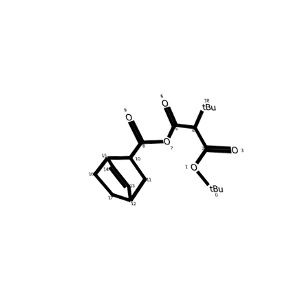 CC(C)(C)OC(=O)C(C(=O)OC(=O)C1CC2C=CC1CC2)C(C)(C)C